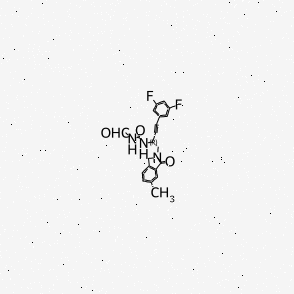 Cc1ccc2c(c1)C(=O)N(C[C@@H](C#Cc1cc(F)cc(F)c1)NC(=O)NC=O)C2